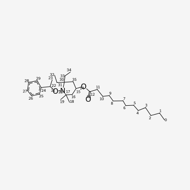 CCCCCCCCCCCCC(=O)OC1CC(C)(C)N(OC(C)c2ccccc2)C(CC)(CC)C1